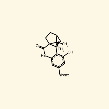 CCCCCc1cc(O)c2c(c1)BC(=O)C13CCC(C=C21)C3(C)C